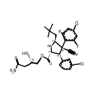 CC(C)(C)C[C@@H]1N[C@@H](C(=O)OC[C@@H](O)CC(N)=O)[C@H](c2cccc(Cl)c2)[C@@]1(C#N)c1c(F)cc(Cl)cc1F